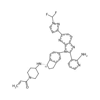 C=CC(=O)N1CCC(N[C@H]2CCc3cc(-n4c(-c5cccnc5N)nc5ccc(-c6ccn(C(F)F)n6)nc54)ccc32)CC1